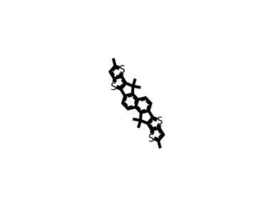 Cc1cc2sc3c(c2s1)C(C)(C)c1c-3ccc2c3c(ccc12)-c1sc2cc(C)sc2c1C3(C)C